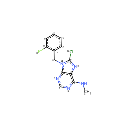 CNc1ncnc2c1nc(Cl)n2Cc1ccccc1F